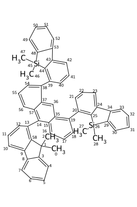 CC1(C)c2ccccc2-c2cccc(-c3c4cccc(-c5cccc6c5[Si](C)(C)c5ccccc5-6)c4cc4c(-c5cccc6c5[Si](C)(C)c5ccccc5-6)cccc34)c21